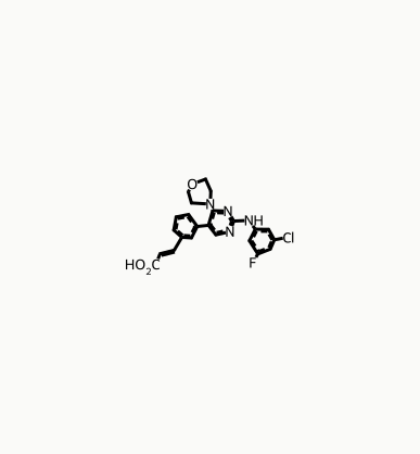 O=C(O)C=Cc1cccc(-c2cnc(Nc3cc(F)cc(Cl)c3)nc2N2CCOCC2)c1